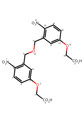 O=C(O)COc1ccc([N+](=O)[O-])c(COCc2cc(OCC(=O)O)ccc2[N+](=O)[O-])c1